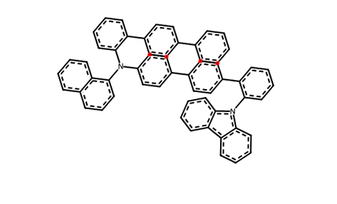 c1ccc(-c2ccc(-c3ccccc3N(c3ccc(-c4ccc(-c5ccccc5-n5c6ccccc6c6ccccc65)cc4)cc3)c3cccc4ccccc34)cc2)cc1